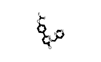 O=c1ccc(-c2ccc(OC(F)F)cc2)nn1Cc1ccncn1